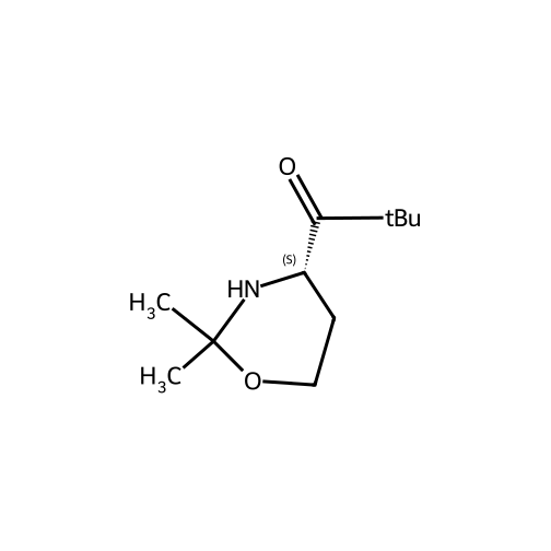 CC1(C)N[C@H](C(=O)C(C)(C)C)CCO1